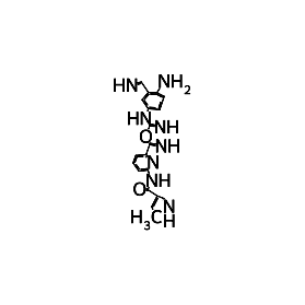 C/C=C(\C=N)C(=O)Nc1cccc(C(=N)OC(=N)Nc2ccc(N)c(C=N)c2)n1